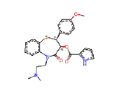 COc1ccc([C@@H]2Sc3ccccc3N(CCN(C)C)C(=O)[C@@H]2OC(=O)c2ccc[nH]2)cc1